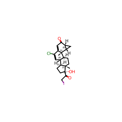 C[C@@]12C(=CC(=O)[C@@H]3C[C@@H]31)C(Cl)=C[C@@H]1[C@@H]2CC[C@@]2(C)[C@H]1CC[C@]2(O)C(=O)CI